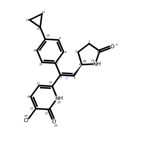 O=C1CC[C@H](/C=C(\c2ccc(C3CC3)cc2)c2ccc(Cl)c(=O)[nH]2)N1